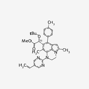 C=Cc1cnc(N2CCn3c(C)cc4c(-c5ccc(C)cc5)c([C@H](OC(C)(C)C)C(=O)OC)c(C)c2c43)nc1